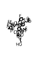 CC(C)(CCc1ccc(-c2ccc(Cl)c3c(N(C(=O)OCCCO)S(C)(=O)=O)nn(CC(F)(F)F)c23)c([C@H](Cc2cc(F)cc(F)c2)NC(=O)Cn2nc(C(F)(F)F)c3c2C(F)(F)C2C[C@H]32)n1)S(C)(=O)=O